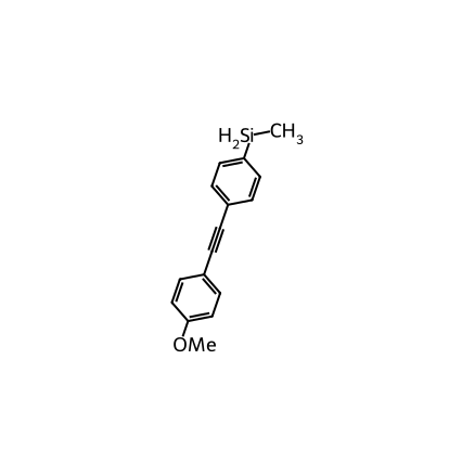 COc1ccc(C#Cc2ccc([SiH2]C)cc2)cc1